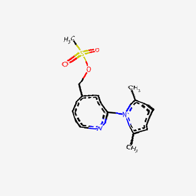 Cc1ccc(C)n1-c1cc(COS(C)(=O)=O)ccn1